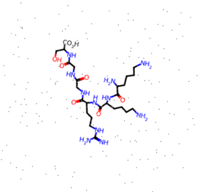 N=C(N)NCCCC(NC(=O)C(CCCCN)NC(=O)C(N)CCCCN)C(=O)NCC(=O)NCC(=O)NC(CO)C(=O)O